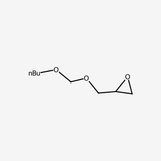 CCCCO[CH]OCC1CO1